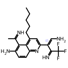 CCCCCc1cc(/C(=C/N)C(=N)C(F)(F)F)nc2ccc(N)c(C(C)=N)c12